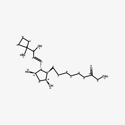 CCCCC1(C(O)/C=C/[C@@H]2[C@@H](CCCCCCC(=O)COC(C)=O)[C@@H](O)C[C@H]2O)CCC1